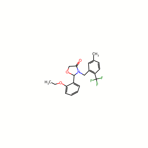 CCOc1ccccc1C1OCC(=O)N1Cc1cc(C)ccc1C(F)(F)F